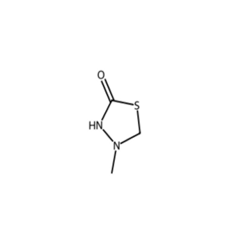 CN1CSC(=O)N1